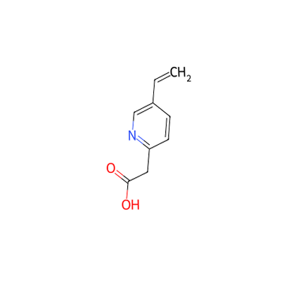 C=Cc1ccc(CC(=O)O)nc1